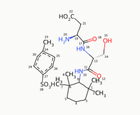 CC1(C)CCCC(C)(C)C1NC(=O)[C@@H](CO)NC(=O)[C@@H](N)CC(=O)O.Cc1ccc(S(=O)(=O)O)cc1